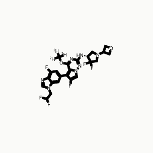 [2H]C([2H])([2H])Oc1nc(N[C@@H]2CN(C3COC3)CC2(F)F)nn2cc(F)c(-c3cc(F)c4ncn(CC(F)F)c4c3)c12